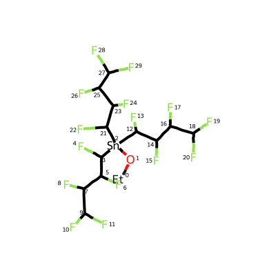 CC[O][Sn]([CH](F)C(F)C(F)C(F)F)([CH](F)C(F)C(F)C(F)F)[CH](F)C(F)C(F)C(F)F